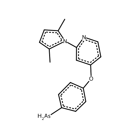 Cc1ccc(C)n1-c1cc(Oc2ccc([AsH2])cc2)ccn1